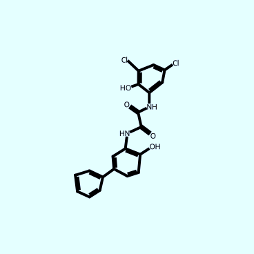 O=C(Nc1cc(-c2ccccc2)ccc1O)C(=O)Nc1cc(Cl)cc(Cl)c1O